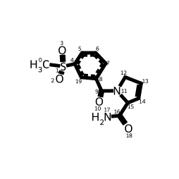 CS(=O)(=O)c1cccc(C(=O)N2CC=CC2C(N)=O)c1